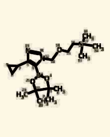 CC1(C)OB(c2c(C3CC3)ncn2COCC[Si](C)(C)C)OC1(C)C